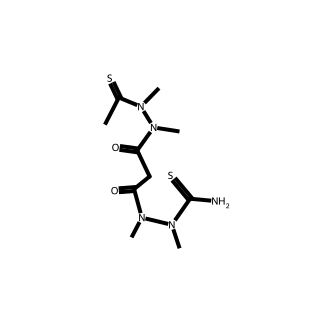 CC(=S)N(C)N(C)C(=O)CC(=O)N(C)N(C)C(N)=S